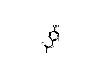 CC(=O)Oc1ccc(O)cn1